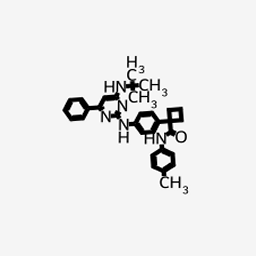 Cc1ccc(NC(=O)C2(c3ccc(Nc4nc(NC(C)(C)C)cc(-c5ccccc5)n4)cc3)CCC2)cc1